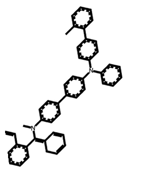 C=Cc1ccccc1/C(=C1/C=CC=CC1)N(C)c1ccc(-c2ccc(N(c3ccccc3)c3ccc(-c4ccccc4C)cc3)cc2)cc1